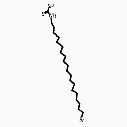 S=C(S)NCCCCCCCCCCCCCCCCCCCCBr